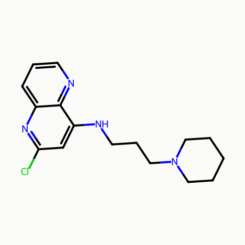 Clc1cc(NCCCN2CCCCC2)c2ncccc2n1